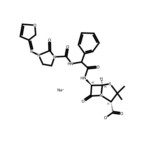 CC1(C)S[C@@H]2[C@H](NC(=O)C(NC(=O)N3CCN(N=C4C=COC4)C3=O)c3ccccc3)C(=O)N2[C@H]1C(=O)[O-].[Na+]